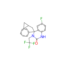 O=C1Nc2ccc(F)cc2C(CC2CC2)(c2ccccc2)N1CC(F)(F)F